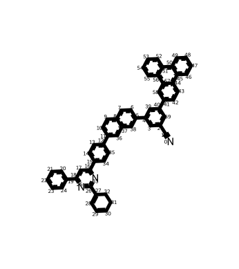 N#Cc1cc(-c2ccc3ccc(-c4ccc(-c5cc(-c6ccccc6)nc(C6=CC=CCC6)n5)cc4)cc3c2)cc(-c2ccc3c4ccccc4c4ccccc4c3c2)c1